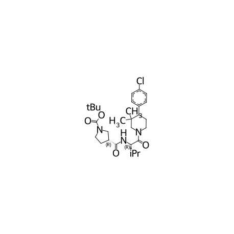 CC(C)[C@@H](NC(=O)[C@@H]1CCN(C(=O)OC(C)(C)C)C1)C(=O)N1CCC(c2ccc(Cl)cc2)C(C)(C)C1